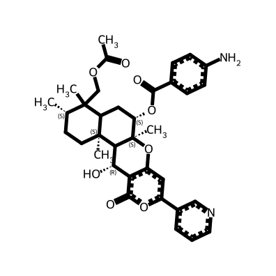 CC(=O)OCC1(C)C2C[C@H](OC(=O)c3ccc(N)cc3)[C@@]3(C)Oc4cc(-c5cccnc5)oc(=O)c4[C@H](O)C3[C@@]2(C)CC[C@@H]1C